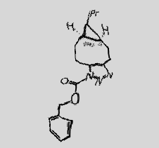 CC(C)C1[C@H]2CCc3nnn(C(=O)OCc4ccccc4)c3CC[C@@H]12